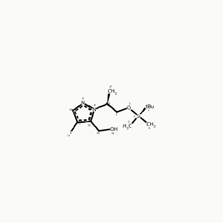 C[C@@H](CO[Si](C)(C)C(C)(C)C)n1ncc(I)c1CO